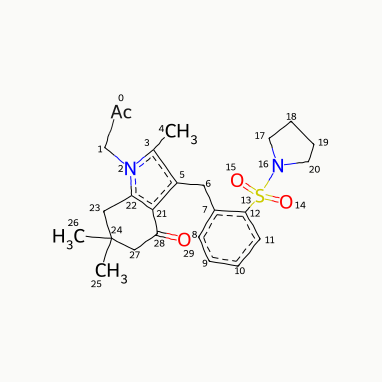 CC(=O)Cn1c(C)c(Cc2ccccc2S(=O)(=O)N2CCCC2)c2c1CC(C)(C)CC2=O